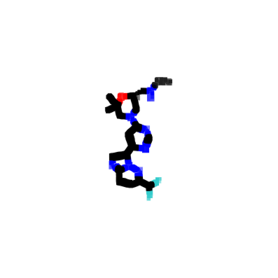 CSNC[C@@H]1CN(c2cc(-c3cnc4ccc(C(F)F)nn34)ncn2)CC(C)(C)O1